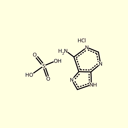 Cl.Nc1ncnc2[nH]cnc12.O=S(=O)(O)O